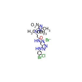 Cc1nc([N+](=O)[O-])c(C[N+](C)(C)C/C=C/C(=O)Nc2cc3c(Nc4ccc(Br)c(Cl)c4)ncnc3cn2)n1C.[Br-]